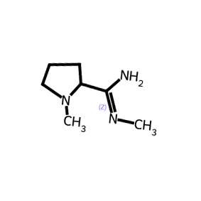 C/N=C(\N)C1CCCN1C